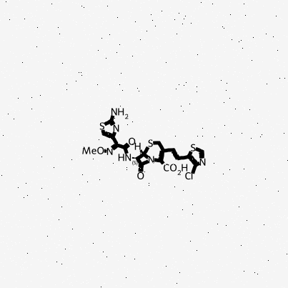 CON=C(C(=O)N[C@H]1C(=O)N2C(C(=O)O)=C(C=Cc3scnc3Cl)CS[C@@H]12)c1csc(N)n1